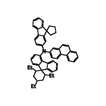 CCC1CC(CC)C2(c3ccccc3-c3c(N(c4ccc5c(c4)C4(CCCC4)c4ccccc4-5)c4ccc5c(ccc6ccccc65)c4)cccc32)C(CC)C1